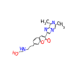 Cc1cn2cc(-c3cc4ccc(CCCNCCO)cc4oc3=O)nc2c(C)n1